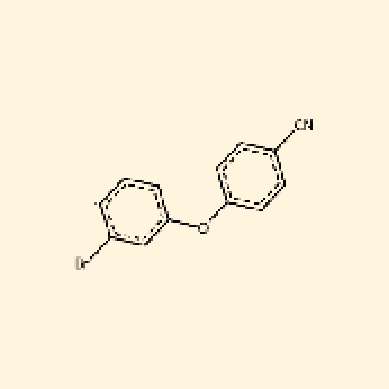 N#Cc1ccc(Oc2cc[c]c(Br)c2)cc1